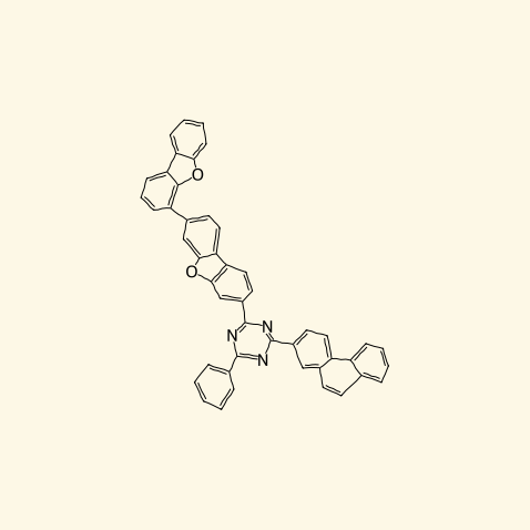 c1ccc(-c2nc(-c3ccc4c(ccc5ccccc54)c3)nc(-c3ccc4c(c3)oc3cc(-c5cccc6c5oc5ccccc56)ccc34)n2)cc1